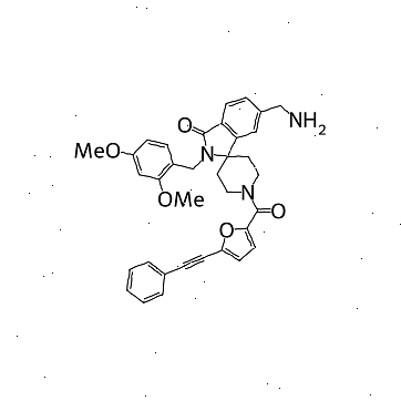 COc1ccc(CN2C(=O)c3ccc(CN)cc3C23CCN(C(=O)c2ccc(C#Cc4ccccc4)o2)CC3)c(OC)c1